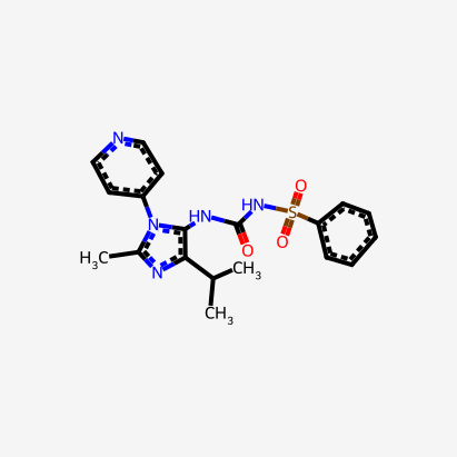 Cc1nc(C(C)C)c(NC(=O)NS(=O)(=O)c2ccccc2)n1-c1ccncc1